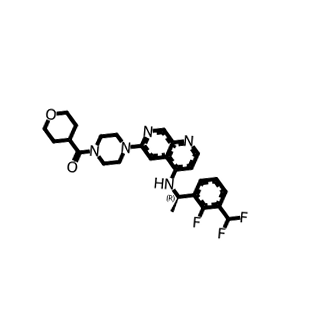 C[C@@H](Nc1ccnc2cnc(N3CCN(C(=O)C4CCOCC4)CC3)cc12)c1cccc(C(F)F)c1F